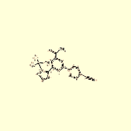 CC(=O)c1cc(-c2ccc(C#N)cc2)nc(-c2ccpn2C(C)(C)C)c1